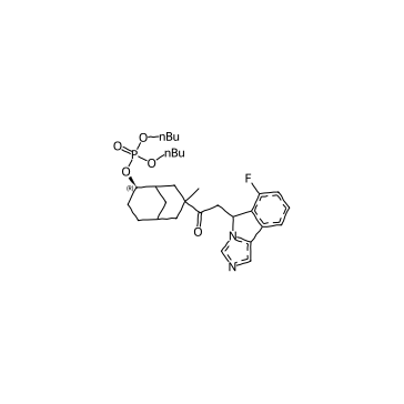 CCCCOP(=O)(OCCCC)O[C@@H]1CCC2CC1CC(C)(C(=O)CC1c3c(F)cccc3-c3cncn31)C2